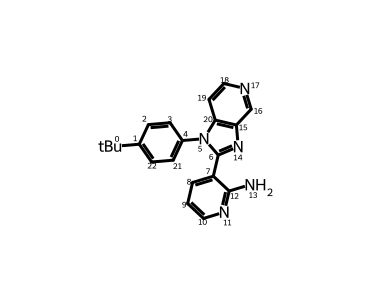 CC(C)(C)c1ccc(-n2c(-c3cccnc3N)nc3cnccc32)cc1